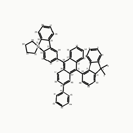 CC1(C)c2ccccc2-c2c(-c3c4ccccc4c(-c4ccc5c(c4)-c4ccccc4[Si]54CCCC4)c4ccc(-c5ccccc5)cc34)cccc21